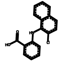 O=C(O)c1ccccc1Nc1c(Cl)ccc2ccccc12